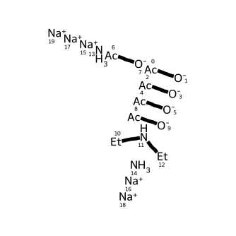 CC(=O)[O-].CC(=O)[O-].CC(=O)[O-].CC(=O)[O-].CC(=O)[O-].CCNCC.N.N.[Na+].[Na+].[Na+].[Na+].[Na+]